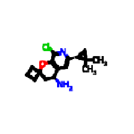 CC1(C)C[C@H]1c1cc2c(c(Cl)n1)OC1(CCC1)C[C@@H]2N